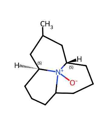 CC1C[C@@H]2CCCC3CCC[C@@H](C1)[N+]32[O-]